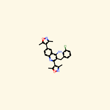 Cc1noc(C)c1-c1ccc2nc(-c3c(C)noc3C)c(Cc3cccc(Cl)c3)c(N)c2c1